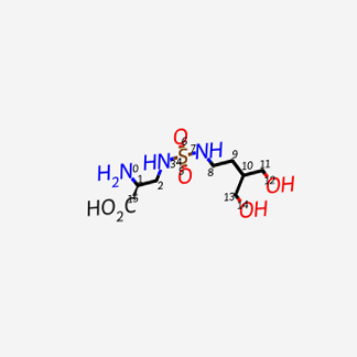 N[C@@H](CNS(=O)(=O)NCCC(CO)CO)C(=O)O